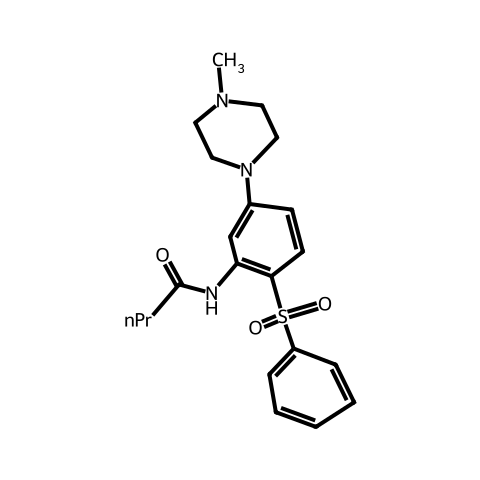 CCCC(=O)Nc1cc(N2CCN(C)CC2)ccc1S(=O)(=O)c1ccccc1